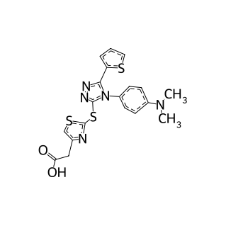 CN(C)c1ccc(-n2c(Sc3nc(CC(=O)O)cs3)nnc2-c2cccs2)cc1